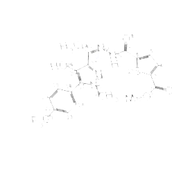 COC(=O)c1ccc(C(=O)N/N=C(/C)c2nn(C)c(-c3ccc(C(F)(F)F)cc3)c2O)s1